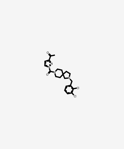 CC(=O)c1ccn(C(=O)N2CCC3(CCN(Cc4cccc(Cl)c4Cl)C3)CC2)n1